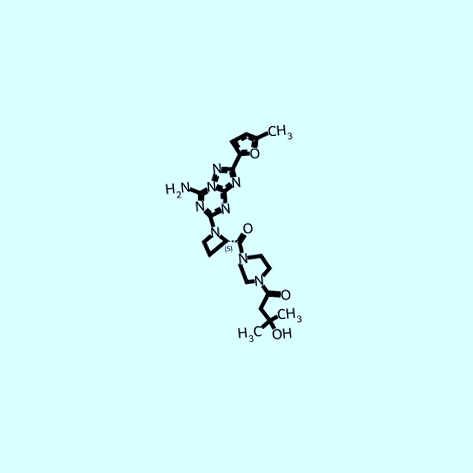 Cc1ccc(-c2nc3nc(N4CC[C@H]4C(=O)N4CCN(C(=O)CC(C)(C)O)CC4)nc(N)n3n2)o1